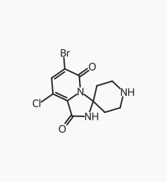 O=C1NC2(CCNCC2)n2c1c(Cl)cc(Br)c2=O